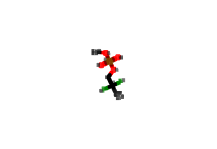 CCOS(=O)(=O)OCC(F)(F)C(F)(F)F